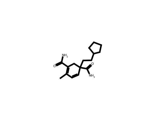 CC1=C(C(N)=O)CC(CCC2CCCC2)(C(N)=O)C=C1